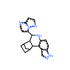 c1cc(C2Nc3ccc4[nH]ncc4c3C3C4CCC(C4)C23)n2nccc2n1